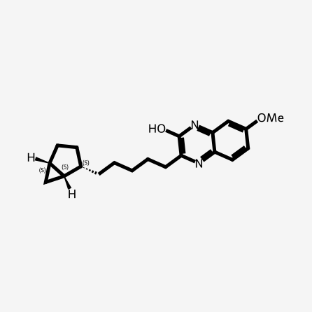 COc1ccc2nc(CCCCC[C@H]3CC[C@H]4C[C@@H]34)c(O)nc2c1